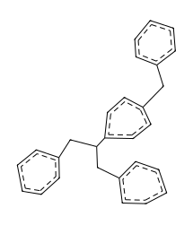 c1ccc(Cc2ccc(C(Cc3ccccc3)Cc3ccccc3)cc2)cc1